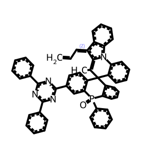 C=C/C=c1\c2n(c3ccccc13)-c1ccccc1C1(C=2C)c2ccccc2P(=O)(c2ccccc2)c2cc(-c3nc(-c4ccccc4)nc(-c4ccccc4)n3)ccc21